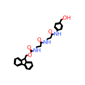 O=C(CCNC(=O)OCC1c2ccccc2-c2ccccc21)NCCC(=O)Nc1ccc(CO)cc1